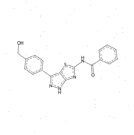 O=C(Nc1nc2[nH]nc(-c3ccc(CO)cc3)c2s1)c1ccccc1